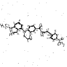 CNc1cccc(N2CCOc3cc(C(=O)NCc4ccc([S+](C)[O-])cc4)ccc32)c1C=N